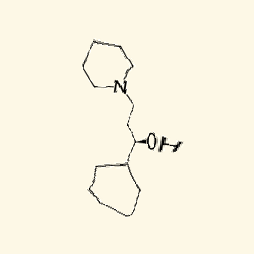 O[C@H](CCN1CCCCC1)C1CCCCC1